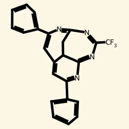 FC(F)(F)C1=NC2=NC(c3ccccc3)=CC3=CC(c4ccccc4)=NC(=N1)C3C2